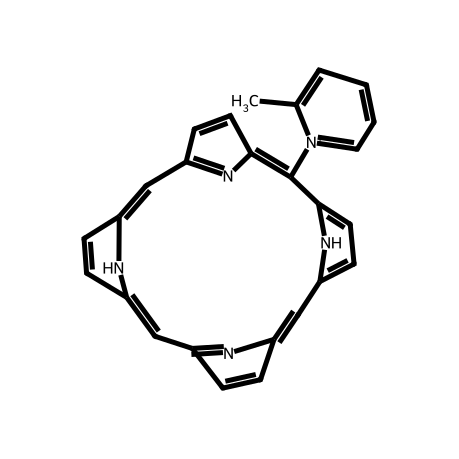 Cc1cccc[n+]1-c1c2nc(cc3ccc(cc4nc(cc5ccc1[nH]5)C=C4)[nH]3)C=C2